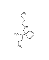 CCCCNCC1(C(C)CCC)C=CC=[C]C1